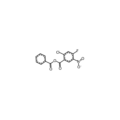 O=C(OC(=O)c1cc([N+](=O)[O-])c(F)cc1Cl)c1ccccc1